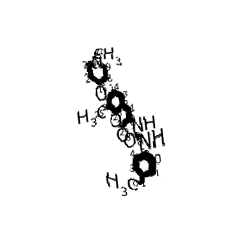 CCc1ccc(NC(=O)Nc2cc3ccc(OC4CCN(C)CC4)c(C)c3oc2=O)cc1